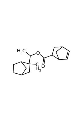 CC(OC(=O)C1CC2C=CC1C2)C1(C)CC2CCC1C2